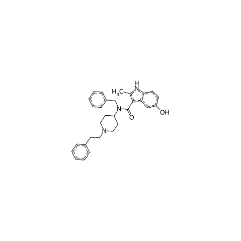 Cc1[nH]c2ccc(O)cc2c1C(=O)N(Cc1ccccc1)C1CCN(CCc2ccccc2)CC1